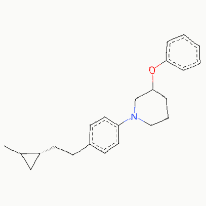 CC1C[C@H]1CCc1ccc(N2CCCC(Oc3ccccc3)C2)cc1